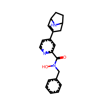 O=C(c1cc(C2=CC3CCC(C2)N3)ccn1)N(O)Cc1ccccc1